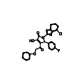 O=C(COc1ccccc1)C1=C(O)C(=O)N(c2nc3c(Cl)cccc3s2)C1c1ccc(F)cc1